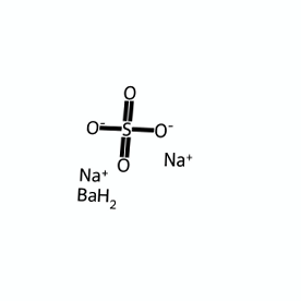 O=S(=O)([O-])[O-].[BaH2].[Na+].[Na+]